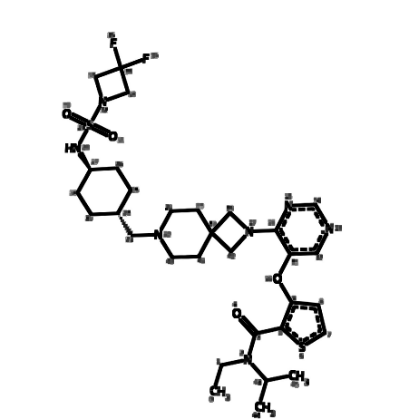 CCN(C(=O)c1sccc1Oc1cncnc1N1CC2(CCN(C[C@H]3CC[C@H](NS(=O)(=O)N4CC(F)(F)C4)CC3)CC2)C1)C(C)C